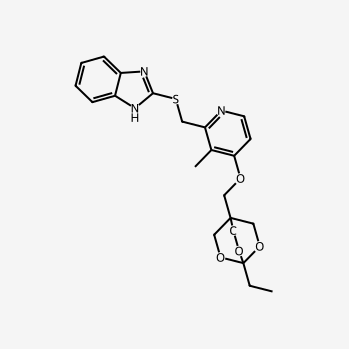 CCC12OCC(COc3ccnc(CSc4nc5ccccc5[nH]4)c3C)(CO1)CO2